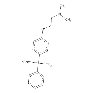 CCCCCC(C)(c1ccccc1)c1ccc(OCCN(C)C)cc1